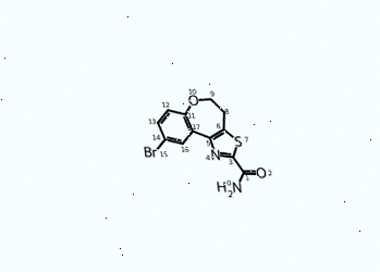 NC(=O)c1nc2c(s1)CCOc1ccc(Br)cc1-2